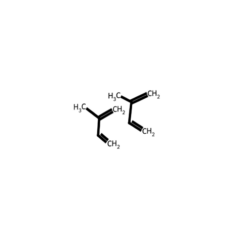 C=CC(=C)C.C=CC(=C)C